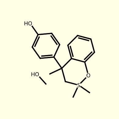 CC1(c2ccc(O)cc2)CS(C)(C)Oc2ccccc21.CO